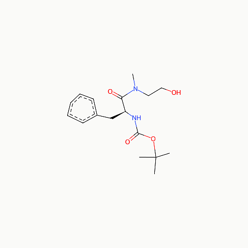 CN(CCO)C(=O)[C@H](Cc1ccccc1)NC(=O)OC(C)(C)C